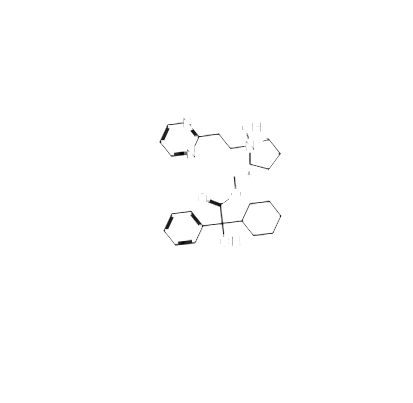 C[N+]1(CCc2ncccn2)CCC[C@@H]1COC(=O)C(O)(c1ccccc1)C1CCCCC1